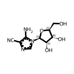 N#Cc1ncn([C@H]2O[C@@H](CO)[C@H](O)[C@@H]2O)c1N